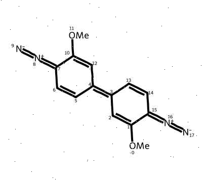 COC1=C/C(=C2\C=CC(=[N+]=[N-])C(OC)=C2)C=CC1=[N+]=[N-]